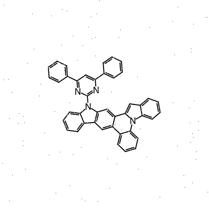 c1ccc(-c2cc(-c3ccccc3)nc(-n3c4ccccc4c4cc5c6ccccc6n6c7ccccc7cc6c5cc43)n2)cc1